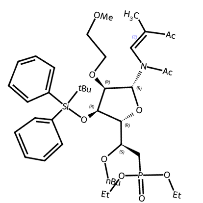 CCCCO[C@H](CP(=O)(OCC)OCC)[C@H]1O[C@@H](N(/C=C(/C)C(C)=O)C(C)=O)[C@H](OCCOC)[C@@H]1O[Si](c1ccccc1)(c1ccccc1)C(C)(C)C